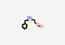 O=COCCc1nnc(Cc2ccccc2)s1